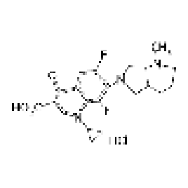 CN1CCCC2CN(c3c(F)cc4c(=O)c(C(=O)O)cn(C5CC5)c4c3F)CC21.Cl